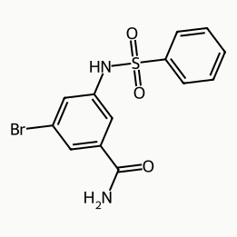 NC(=O)c1cc(Br)cc(NS(=O)(=O)c2ccccc2)c1